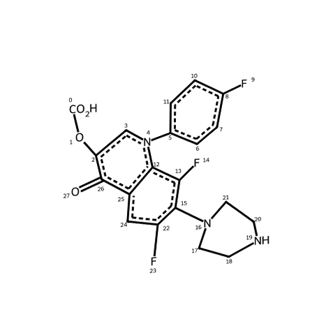 O=C(O)Oc1cn(-c2ccc(F)cc2)c2c(F)c(N3CCNCC3)c(F)cc2c1=O